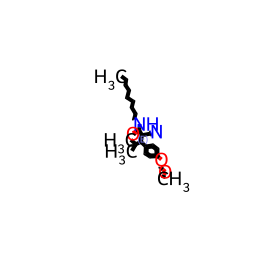 CCCCCCCCCNC(=O)/C(C#N)=C(/c1ccc(OCOC)cc1)C(C)C